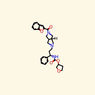 O=C(NC(CCN1CC2CN(C(=O)c3cc4ccccc4o3)C[C@@H]2C1)c1ccccc1)OC1CCOC1